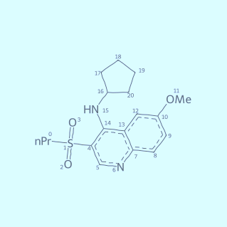 CCCS(=O)(=O)c1cnc2ccc(OC)cc2c1NC1CCCC1